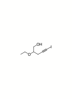 CCOC(CO)CC#CI